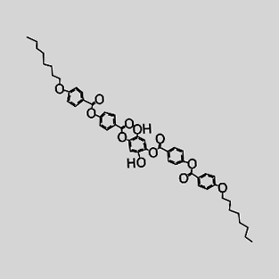 CCCCCCCCOc1ccc(C(=O)Oc2ccc(C(=O)Oc3cc(O)c(OC(=O)c4ccc(OC(=O)c5ccc(OCCCCCCCC)cc5)cc4)cc3O)cc2)cc1